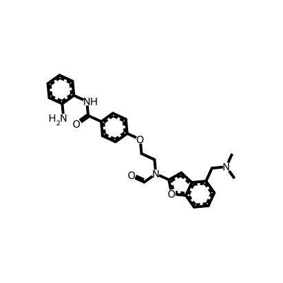 CN(C)Cc1cccc2oc(N(C=O)CCOc3ccc(C(=O)Nc4ccccc4N)cc3)cc12